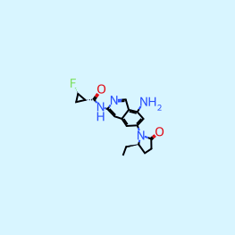 CC[C@@H]1CCC(=O)N1c1cc(N)c2cnc(NC(=O)[C@@H]3C[C@@H]3F)cc2c1